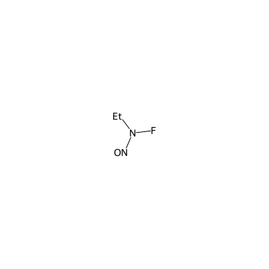 CCN(F)N=O